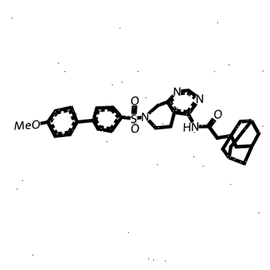 COc1ccc(-c2ccc(S(=O)(=O)N3CCc4c(ncnc4NC(=O)CC45CC6CC(CC(C6)C4)C5)C3)cc2)cc1